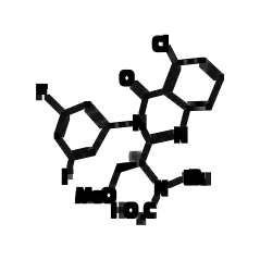 COC[C@@H](c1nc2cccc(Cl)c2c(=O)n1-c1cc(F)cc(F)c1)N(C(=O)O)C(C)(C)C